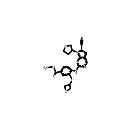 COC(=O)c1ccc(Nc2ncc3cc(C#N)n(C4CCOC4)c3n2)c(OC2COC2)c1